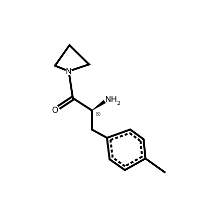 Cc1ccc(C[C@H](N)C(=O)N2CCC2)cc1